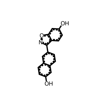 Oc1ccc2cc(-c3noc4cc(O)ccc34)ccc2c1